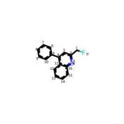 FCc1cc(-c2ccccc2)c2ccccc2n1